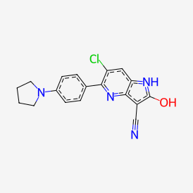 N#Cc1c(O)[nH]c2cc(Cl)c(-c3ccc(N4CCCC4)cc3)nc12